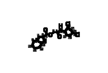 O=C(COC(=O)c1cn2ccccc2n1)Nc1ccc(Cl)cc1Cl